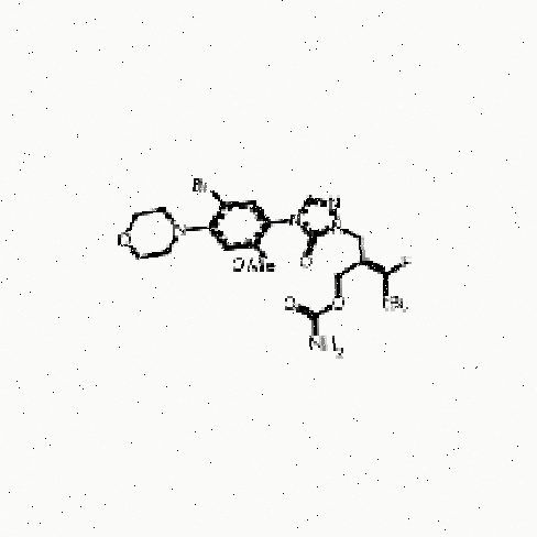 COc1cc(N2CCOCC2)c(Br)cc1-n1cnn(C/C(COC(N)=O)=C(\F)C(C)(C)C)c1=O